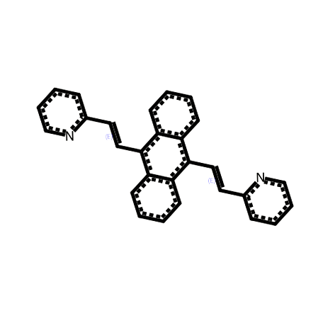 C(=C\c1c2ccccc2c(/C=C/c2ccccn2)c2ccccc12)/c1ccccn1